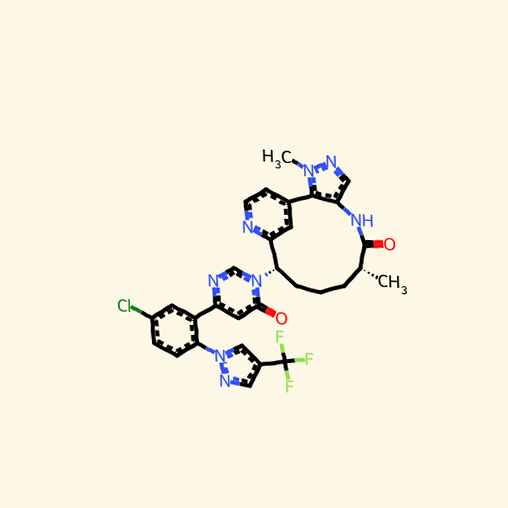 C[C@@H]1CCC[C@H](n2cnc(-c3cc(Cl)ccc3-n3cc(C(F)(F)F)cn3)cc2=O)c2cc(ccn2)-c2c(cnn2C)NC1=O